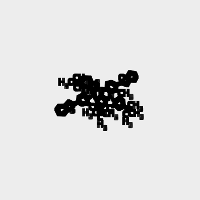 Cc1cc(C(C)(C)C)cc(C)c1N1c2cc(-c3cc4ccccc4o3)ccc2B2c3sc4ccc(C(C)(C)C)cc4c3N(c3c(C)cc(-c4cc5ccccc5s4)cc3C)c3cc(C(C)(C)C)cc1c32